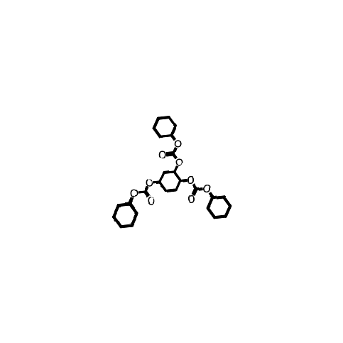 O=C(OC1CCCCC1)OC1CCC(OC(=O)OC2CCCCC2)C(OC(=O)OC2CCCCC2)C1